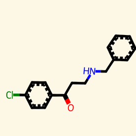 O=C(CCNCc1ccccc1)c1ccc(Cl)cc1